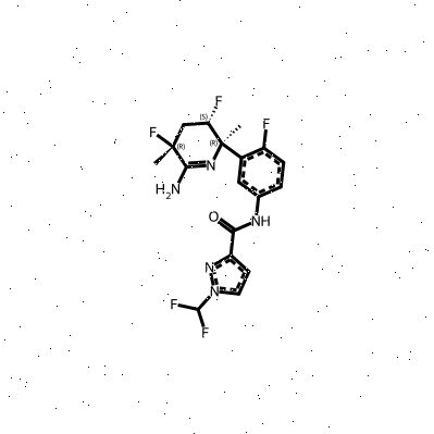 C[C@@]1(F)C[C@H](F)[C@@](C)(c2cc(NC(=O)c3ccn(C(F)F)n3)ccc2F)N=C1N